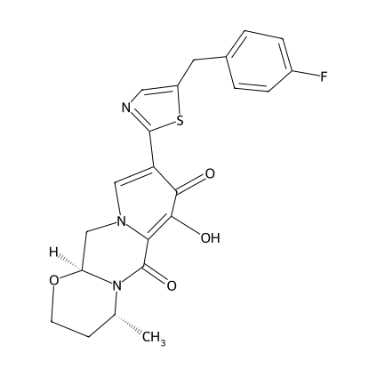 C[C@@H]1CCO[C@H]2Cn3cc(-c4ncc(Cc5ccc(F)cc5)s4)c(=O)c(O)c3C(=O)N12